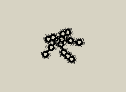 c1ccc(-c2ccc(N3c4cc(-c5ccc6cc7ccccc7cc6c5)cc5c4B(c4ccc6ccccc6c43)c3ccc4ccccc4c3N5c3ccc(-c4ccccc4)cc3)cc2)cc1